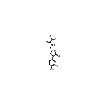 O=C(NC[C@H]1CN(c2ccc(O)c(F)c2)C(=O)O1)C(F)F